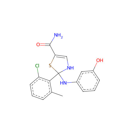 Cc1cccc(Cl)c1C1(Nc2cccc(O)c2)NC=C(C(N)=O)S1